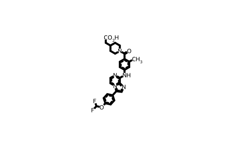 Cc1cc(Nc2nccn3c(-c4ccc(OC(F)F)cc4)cnc23)ccc1C(=O)N1CCC(CC(=O)O)CC1